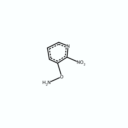 NOc1cccnc1[N+](=O)[O-]